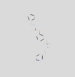 Cc1cccc(CNC(=O)Cc2cccc(CC(C)(C)NC[C@H](O)c3ccc(N)nc3)c2)c1C